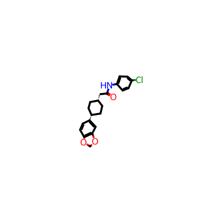 O=C(C[C@H]1CC[C@@H](c2ccc3c(c2)OCO3)CC1)Nc1ccc(Cl)cc1